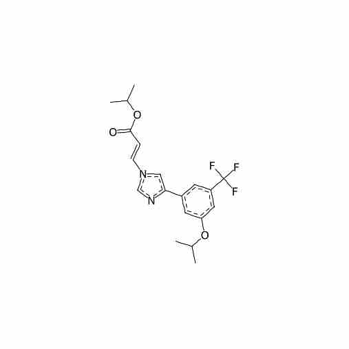 CC(C)OC(=O)C=Cn1cnc(-c2cc(OC(C)C)cc(C(F)(F)F)c2)c1